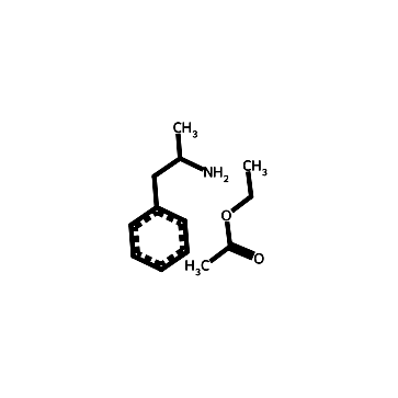 CC(N)Cc1ccccc1.CCOC(C)=O